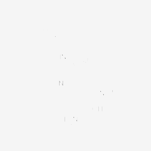 COC(C)(C)CNC(=O)C1=NCC(C(N)O)=C1CN=O